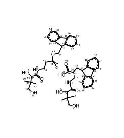 CC(C)(CO)C(O)C(=O)NC[C@@H](CC1c2ccccc2-c2ccccc21)C(=O)O.CC(C)(CO)[C@@H](O)C(=O)NCCC(=O)OCC1c2ccccc2-c2ccccc21